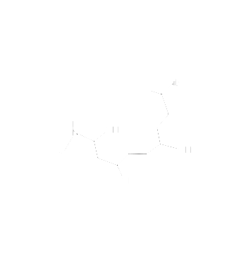 CCCNC(C)CC(C)CCC(C)CCC(C)C(C)CC